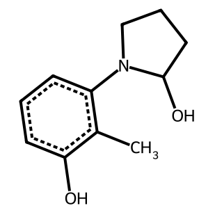 Cc1c(O)cccc1N1CCCC1O